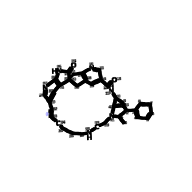 CC1C(c2ccccc2)CC2NC(=O)c3cnc4c(c3)C[C@@]3(C4)C(=O)Nc4ncc(cc43)/C=C/CCCCNCCN1C2=O